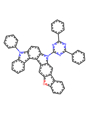 c1ccc(-c2nc(-c3ccccc3)nc(-n3c4cc5c(cc4c4c6c7ccccc7n(-c7ccccc7)c6ccc43)oc3ccccc35)n2)cc1